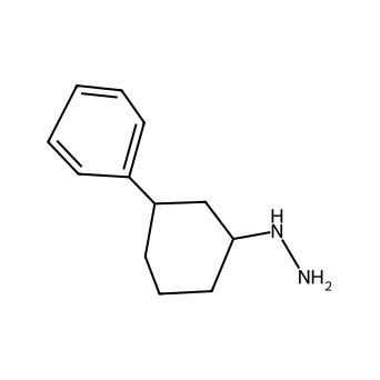 NNC1CCCC(c2ccccc2)C1